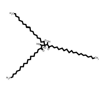 CCCCCCCCC=CCCCCCCCC(=O)C(O)(C(O)C(=O)CCCCCCCCCCCCCCCCC)C(O)C(=O)CCCCCCCCCCCCCCCCCCC